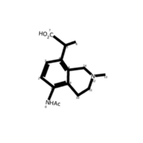 CC(=O)Nc1ccc(C(C)C(=O)O)c2c1CCN(C)C2